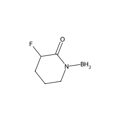 BN1CCCC(F)C1=O